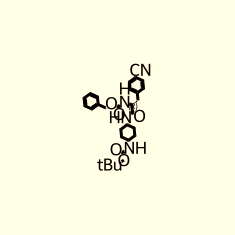 CC(C)(C)OC(=O)NC1CCC(NC(=O)[C@@H](Cc2ccc(C#N)cc2)NC(=O)OCc2ccccc2)CC1